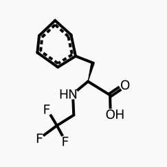 O=C(O)[C@H](Cc1ccccc1)NCC(F)(F)F